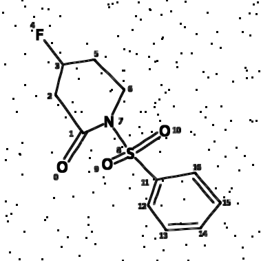 O=C1CC(F)CCN1S(=O)(=O)c1ccccc1